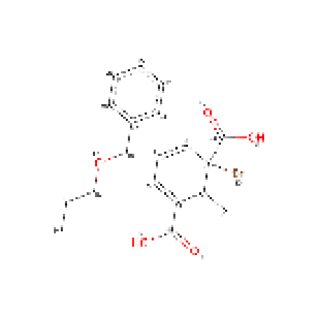 CC1C(C(=O)O)=CC=CC1(Br)C(=O)O.CCCOCc1ccccc1